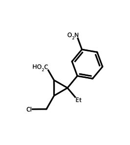 CCC1(c2cccc([N+](=O)[O-])c2)C(CCl)C1C(=O)O